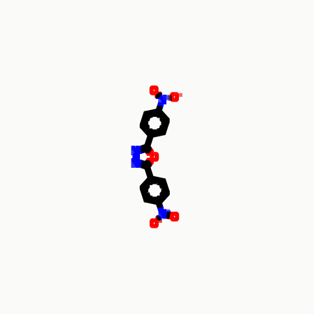 O=[N+]([O-])c1ccc(-c2nnc(-c3ccc([N+](=O)[O-])cc3)o2)cc1